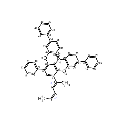 C/C=C\C=C(/C)c1cc(-c2ccccc2)c2c3c1Oc1cc(-c4ccccc4)ccc1P3(=O)c1ccc(-c3ccccc3)cc1O2